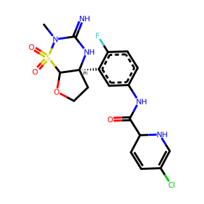 CN1C(=N)N[C@@]2(c3cc(NC(=O)C4C=CC(Cl)=CN4)ccc3F)CCOC2S1(=O)=O